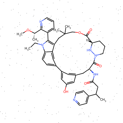 CCn1c(-c2cccnc2[C@H](C)OC)c2c3cc(ccc31)-c1cc(O)cc(c1)C[C@H](NC(=O)CC(C)c1ccncc1)C(=O)N1CCC[C@H](N1)C(=O)OCC(C)(C)C2